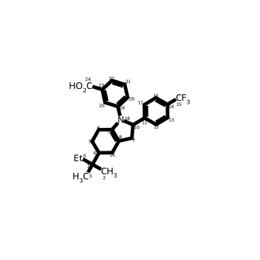 CCC(C)(C)C1CCC2=C(CC(c3ccc(C(F)(F)F)cc3)N2c2cccc(C(=O)O)c2)C1